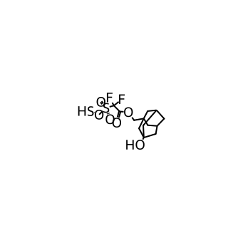 O=C(OCC12CC3CC(CC(O)(C3)C1)C2)C(F)(F)S(=O)(=O)OS